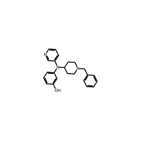 Oc1cccc(N(c2cccnc2)C2CCN(Cc3ccccc3)CC2)c1